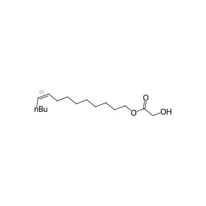 CCCC/C=C\CCCCCCCCOC(=O)CO